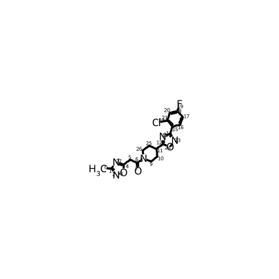 Cc1noc(CC(=O)N2CCC(c3nc(-c4ccc(F)cc4Cl)no3)CC2)n1